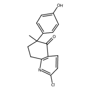 CC1(c2ccc(O)cc2)CCc2nc(Cl)ccc2C1=O